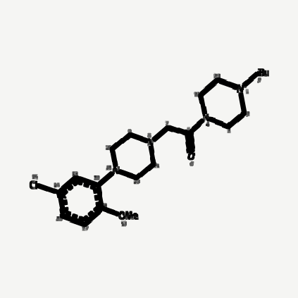 CCC(C)N1CCN(C(=O)CN2CCN(c3cc(Cl)ccc3OC)CC2)CC1